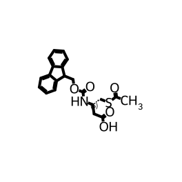 CC(=O)SC[C@H](CC(=O)O)NC(=O)OCC1c2ccccc2-c2ccccc21